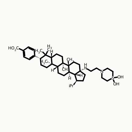 CC(C)[C@@H]1CC[C@]2(NCCN3CCS(O)(O)CC3)CC[C@]3(C)[C@H](CC[C@@H]4[C@@]5(C)CC[C@H](c6ccc(C(=O)O)cc6)C(C)(C)[C@@H]5CC[C@]43C)[C@@H]12